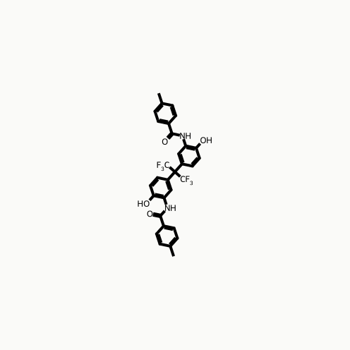 Cc1ccc(C(=O)Nc2cc(C(c3ccc(O)c(NC(=O)c4ccc(C)cc4)c3)(C(F)(F)F)C(F)(F)F)ccc2O)cc1